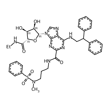 CCNC(=O)[C@H]1O[C@@H](n2cnc3c(NCC(c4ccccc4)c4ccccc4)nc(C(=O)NCCCN(C)S(=O)(=O)c4ccccc4)nc32)[C@H](O)[C@@H]1O